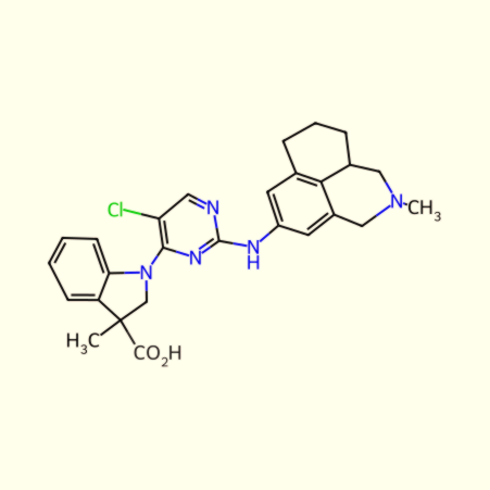 CN1Cc2cc(Nc3ncc(Cl)c(N4CC(C)(C(=O)O)c5ccccc54)n3)cc3c2C(CCC3)C1